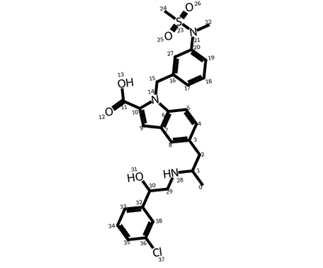 CC(Cc1ccc2c(c1)cc(C(=O)O)n2Cc1cccc(N(C)S(C)(=O)=O)c1)NCC(O)c1cccc(Cl)c1